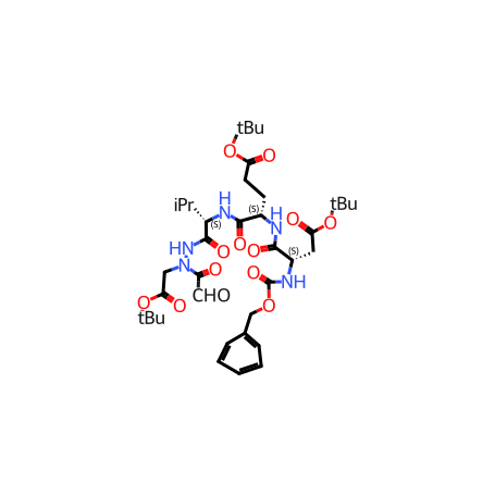 CC(C)[C@H](NC(=O)[C@H](CCC(=O)OC(C)(C)C)NC(=O)[C@H](CC(=O)OC(C)(C)C)NC(=O)OCc1ccccc1)C(=O)NN(CC(=O)OC(C)(C)C)C(=O)C=O